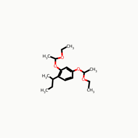 CCOC(C)Oc1ccc(C(C)CC)c(OC(C)OCC)c1